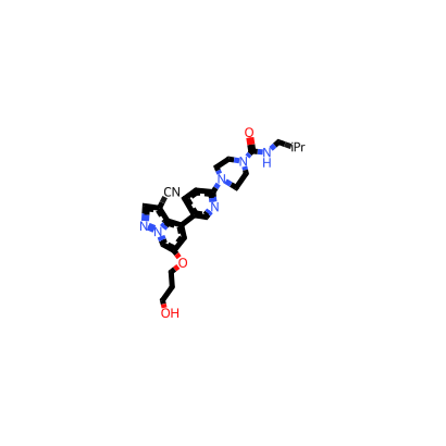 CC(C)CNC(=O)N1CCN(c2ccc(-c3cc(OCCCO)cn4ncc(C#N)c34)cn2)CC1